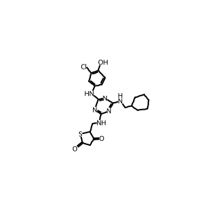 O=C1CC(=O)C(CNc2nc(NCC3CCCCC3)nc(Nc3ccc(O)c(Cl)c3)n2)S1